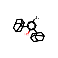 CC(C)(C)c1cc(C23CC4CC(CC(C4)C2)C3)c(O)c(C23CC4CC(CC(C4)C2)C3)c1